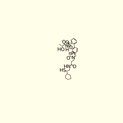 CCCC(=O)N(CCC(=O)NC[C@H](S)C1CCCCC1)Cc1ccc(-c2ccccc2S(=O)(=O)NC(=O)[C@H](C)O)cc1